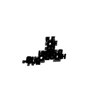 Cc1cc(Cn2cc3cc(Nc4nc(=O)n(Cc5ccc[nH]c5=O)c(=O)n4Cc4cc(F)c(F)c(F)c4)c(Cl)cc3n2)no1